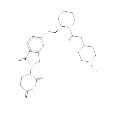 CC(C)N1CCC(CC(=O)N2CCCC[C@@H]2COc2ccc3c(c2)CN(C2CCC(=O)NC2=O)C3=O)CC1